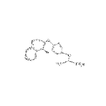 CC(Oc1ccc(Oc2ccc3ccccc3c2Br)cc1)C(=O)O